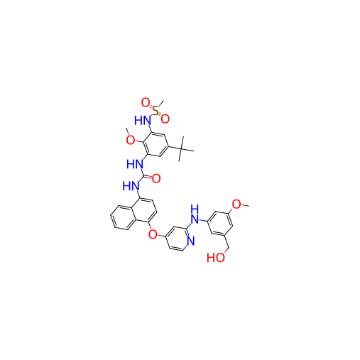 COc1cc(CO)cc(Nc2cc(Oc3ccc(NC(=O)Nc4cc(C(C)(C)C)cc(NS(C)(=O)=O)c4OC)c4ccccc34)ccn2)c1